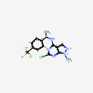 C[C@@H](Nc1nc(Cl)nc2c1cnn2C)c1ccc(C(F)(F)F)cc1